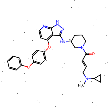 CN(CC=CC(=O)N1CCC[C@@H](Nc2n[nH]c3nccc(Oc4ccc(Oc5ccccc5)cc4)c23)C1)C1CC1